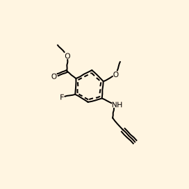 C#CCNc1cc(F)c(C(=O)OC)cc1OC